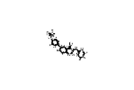 O=c1c2cc(-c3ccc(OC(F)(F)F)cc3)ccc2ncn1Cc1ncccn1